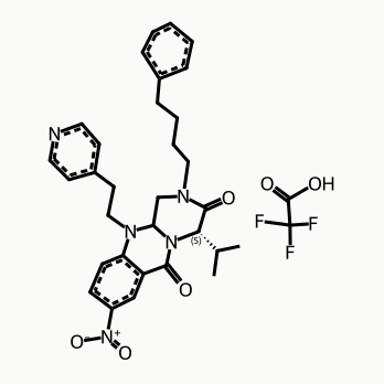 CC(C)[C@H]1C(=O)N(CCCCc2ccccc2)CC2N(CCc3ccncc3)c3ccc([N+](=O)[O-])cc3C(=O)N21.O=C(O)C(F)(F)F